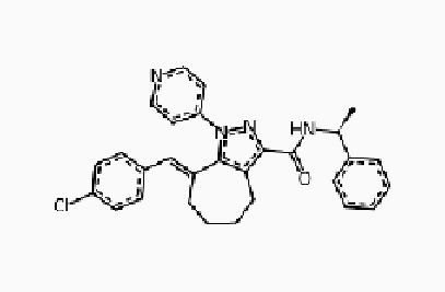 C[C@H](NC(=O)c1nn(-c2ccncc2)c2c1CCCC/C2=C\c1ccc(Cl)cc1)c1ccccc1